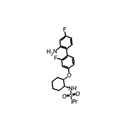 CC(C)S(=O)(=O)N[C@H]1CCCC[C@H]1Oc1ccc(-c2ccc(F)cc2N)c(F)c1